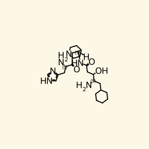 N[C@@H](Cc1c[nH]cn1)C(=O)C1[C@@H](NC(=O)CC(O)[C@@H](N)CC2CCCCC2)C2CCN1CC2